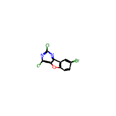 Clc1nc(Cl)c2oc3ccc(Br)cc3c2n1